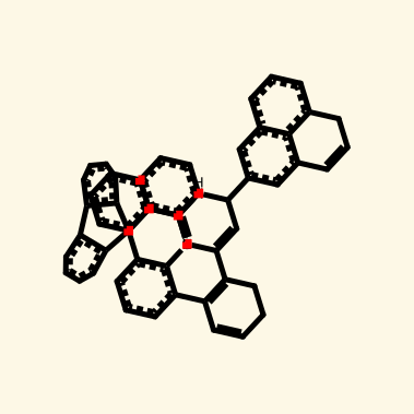 C1=CC(c2cccc3c2Oc2ccccc2C32c3ccccc3-c3ccccc32)=C(C2=CC(c3cc4c5c(cccc5c3)CC=C4)NC(c3ccccc3)=N2)CC1